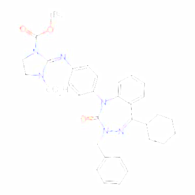 CC(C)(C)OC(=O)N1CCN(C(=O)O)C1=Nc1ccc(N2C(=O)N(Cc3ccccc3)N=C(C3CCCCC3)c3ccccc32)cc1